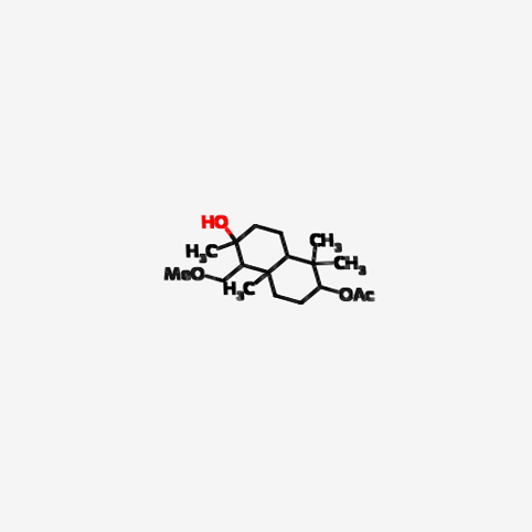 COCC1C(C)(O)CCC2C(C)(C)C(OC(C)=O)CCC12C